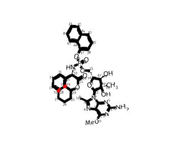 COc1nc(N)nc2c1nc(I)n2C1O[C@H](COP(=O)(N[C@H](C(=O)OC2CCCCC2)c2ccccc2)Oc2cccc3ccccc23)[C@@H](O)[C@@]1(C)O